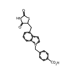 O=C1NC(=O)C(Cc2cccc3c2ccn3Cc2ccc(C(=O)O)cc2)S1